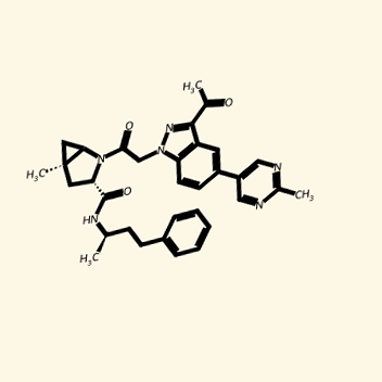 CC(=O)c1nn(CC(=O)N2C3C[C@]3(C)C[C@H]2C(=O)N[C@H](C)CCc2ccccc2)c2ccc(-c3cnc(C)nc3)cc12